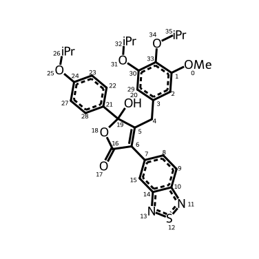 COc1cc(CC2=C(c3ccc4nsnc4c3)C(=O)OC2(O)c2ccc(OC(C)C)cc2)cc(OC(C)C)c1OC(C)C